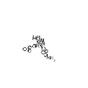 Cl.Cl.Nc1cccc(Oc2ccc(Nc3ncnc4ccn(CCOCCOC(=O)c5ccccc5)c34)cc2Cl)c1